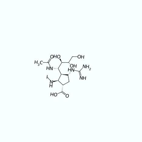 CC(=O)N[C@H]([C@@H](O)[C@@H](O)CO)[C@@H]1[C@H](NI)[C@@H](C(=O)O)C[C@H]1NC(=N)N